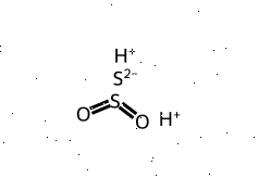 O=S=O.[H+].[H+].[S-2]